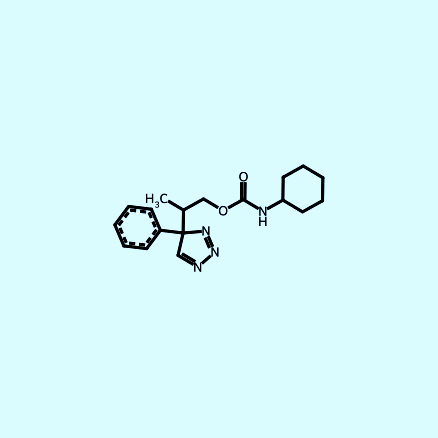 CC(COC(=O)NC1CCCCC1)C1(c2ccccc2)C=NN=N1